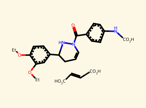 CCOc1ccc(C2CC=CN(C(=O)c3ccc(NC(=O)O)cc3)N2)cc1OCC.O=C(O)/C=C/C(=O)O